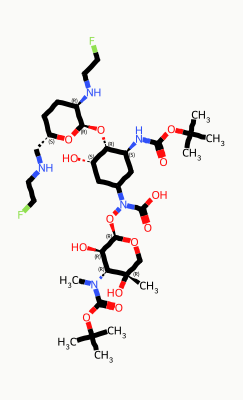 CN(C(=O)OC(C)(C)C)[C@@H]1[C@@H](O)[C@@H](ON(C(=O)O)C2C[C@H](NC(=O)OC(C)(C)C)[C@@H](O[C@H]3O[C@H](CNCCF)CC[C@H]3NCCF)[C@@H](O)C2)OC[C@]1(C)O